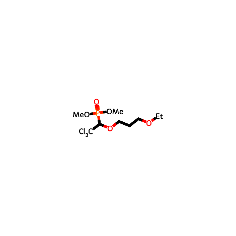 CCOCCCOC(C(Cl)(Cl)Cl)P(=O)(OC)OC